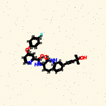 CC(C)(O)C#Cc1ccc2c(c1)NC(=O)C(NC(=O)c1cc(Oc3ccc(F)cc3)ccn1)CC2